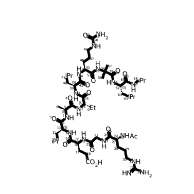 CC[C@H](NC(=O)[C@H](C)NC(=O)[C@H](CC(C)C)NC(=O)[C@H](CCC(=O)O)NC(=O)CNC(=O)[C@H](CCCNC(=N)N)NC(C)=O)C(=O)N[C@@H](CC(C)C)C(=O)N[C@@H](CCCNC(N)=O)C(=O)NC(C)(C)C(=O)N[C@@H](CC(C)C)C(=O)NC(C)C